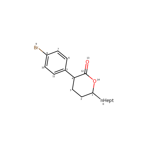 CCCCCCCC1CCC(c2ccc(Br)cc2)C(=O)O1